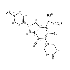 CCOC(=O)Cn1c(CC)c(N2CCNCC2)c(=O)n2nc(C3=CCN(C(C)=O)CC3)nc12.Cl